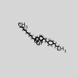 C=CCCC1CCC(CCc2ccc3cc(CCCCCCCCCC)oc(=O)c3c2F)CC1